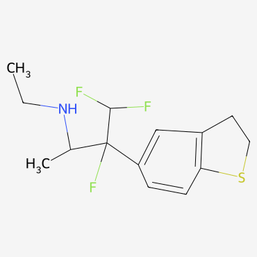 CCNC(C)C(F)(c1ccc2c(c1)CCS2)C(F)F